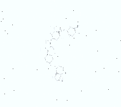 O=C(Nc1ccc(Oc2ccnc3[nH]ccc23)cc1)Nc1ccc(Oc2cccc(F)c2)c(C(F)(F)F)c1